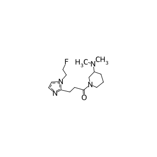 CN(C)C1CCCN(C(=O)CCc2nccn2CCF)C1